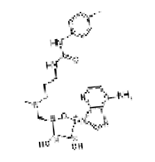 Cc1ccc(NC(=O)NCCCN(C)C[C@H]2O[C@@H](n3cnc4c(N)ccnc43)[C@H](O)[C@@H]2O)cc1